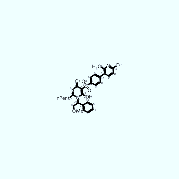 CCCCCc1nc(=O)c(S(=O)(=O)c2ccc(-c3ccc(F)nc3C)cc2)c(O)n1C(COC)c1ccccc1